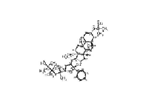 C[C@@H](C(CCC(C)(C)CC(C)(C)[Si](C)(C)O)S(=O)(=O)c1ccccc1)[C@H]1CC[C@H]2C3=CC=C4C[C@@H](O[Si](C)(C)C(C)(C)C)CC[C@]4(C)[C@H]3CC[C@]12C